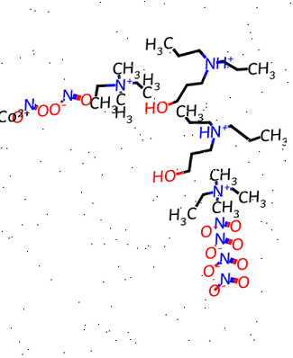 CCC[NH+](CCC)CCCO.CCC[NH+](CCC)CCCO.CC[N+](C)(C)CC.CC[N+](C)(C)CC.O=N[O-].O=N[O-].O=N[O-].O=N[O-].O=N[O-].O=N[O-].[Co+2]